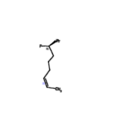 C/C=C\CCC[C@@H](F)C(C)C